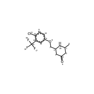 CC1CC(=O)CC(COc2cnc(Cl)c(C(F)(F)F)c2)N1